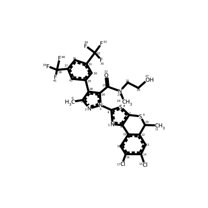 Cc1nn(-c2nc3c(s2)SC(C)c2cc(Cl)c(Cl)cc2-3)c(C(=O)N(C)CCO)c1-c1cc(C(F)(F)F)cc(C(F)(F)F)c1